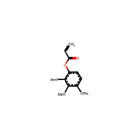 C=CC(=O)Oc1ccc(OC)c(OC)c1OC